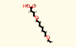 CCOCCCCCCCOCCCC(=O)O